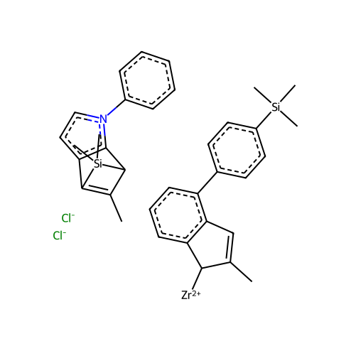 CC1=C2c3ccn(-c4ccccc4)c3C1[Si]2(C)C.CC1=Cc2c(-c3ccc([Si](C)(C)C)cc3)cccc2[CH]1[Zr+2].[Cl-].[Cl-]